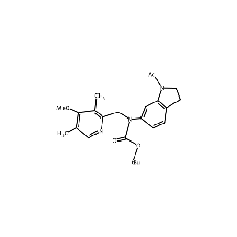 COc1c(C)cnc(CN(C(=O)OC(C)(C)C)c2ccc3c(c2)N(C(C)=O)CC3)c1C